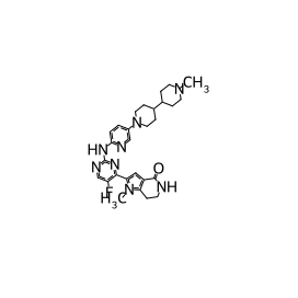 CN1CCC(C2CCN(c3ccc(Nc4ncc(F)c(-c5cc6c(n5C)CCNC6=O)n4)nc3)CC2)CC1